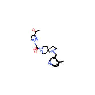 CC(=O)c1ccn(C(=O)N2CCC3(CCN(Cc4cnccc4C)C3)CC2)n1